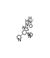 CCNC(=O)Nc1nc2cc(-c3cccnc3)cc(-n3cccn3)c2s1